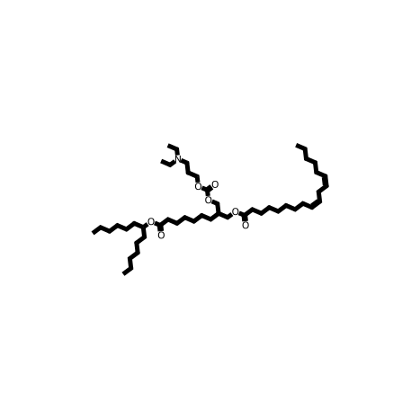 CCCCC/C=C\C/C=C\CCCCCCCC(=O)OCC(CCCCCCC(=O)OC(CCCCCC)CCCCCC)COC(=O)OCCCN(CC)CC